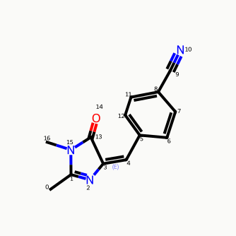 CC1=N/C(=C/c2ccc(C#N)cc2)C(=O)N1C